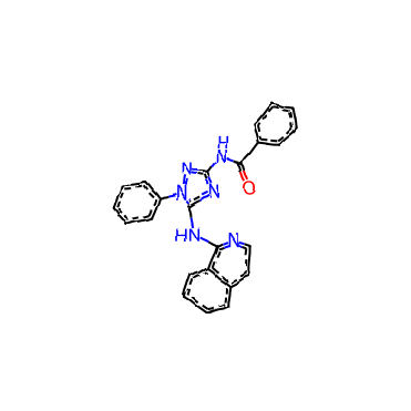 O=C(Nc1nc(Nc2nccc3ccccc23)n(-c2ccccc2)n1)c1ccccc1